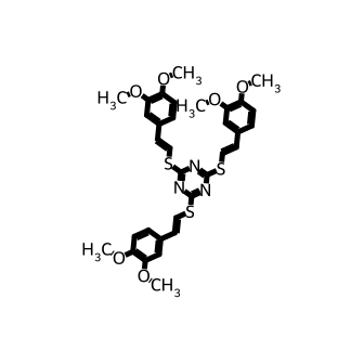 COc1ccc(C=CSc2nc(SC=Cc3ccc(OC)c(OC)c3)nc(SC=Cc3ccc(OC)c(OC)c3)n2)cc1OC